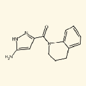 Nc1cc(C(=O)N2CCCc3ccccc32)n[nH]1